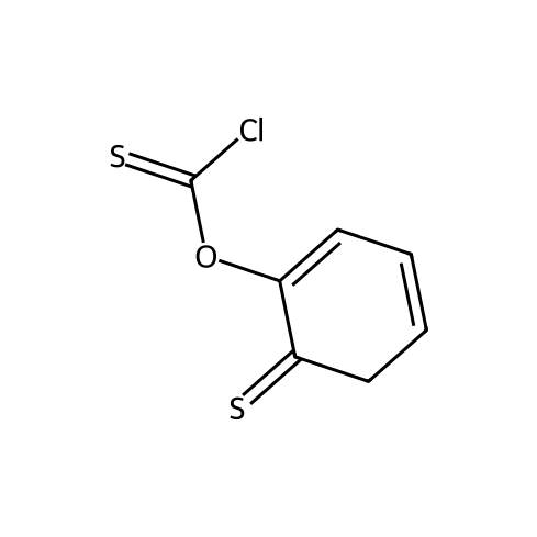 S=C(Cl)OC1=CC=CCC1=S